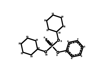 S=P(Oc1ccccc1)(OC1CCCCC1)OC1CCCCC1